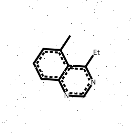 CCc1n[c]nc2cccc(C)c12